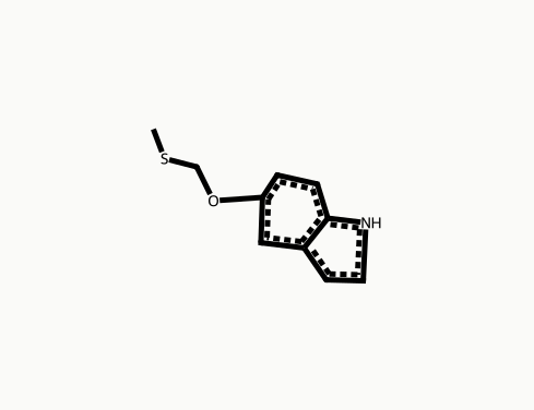 CSCOc1ccc2[nH]ccc2c1